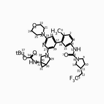 Cc1ccc(NC(=O)N2CC[C@@H](CC(F)(F)F)C2)cc1-c1cc(N2CCOCC2)nc(N2CC3C[C@]3(NC(=O)OC(C)(C)C)C2)c1